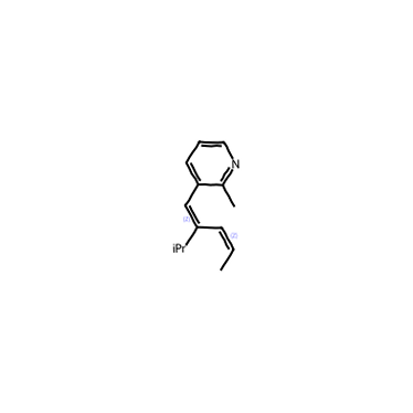 C/C=C\C(=C/c1cccnc1C)C(C)C